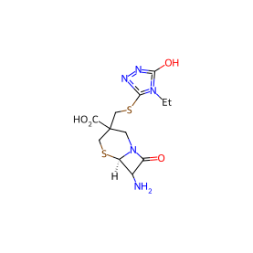 CCn1c(O)nnc1SCC1(C(=O)O)CS[C@@H]2C(N)C(=O)N2C1